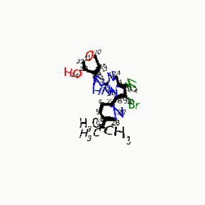 CC(C)(C)c1ccc(-c2c(Br)c(F)c3cnc(N[C@@H]4CCOC[C@H]4O)nn23)nc1